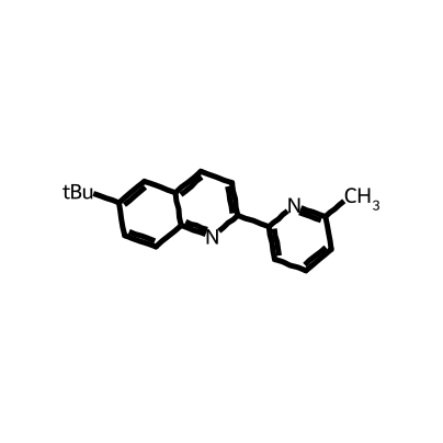 Cc1cccc(-c2ccc3cc(C(C)(C)C)ccc3n2)n1